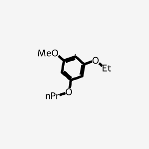 CCCOc1cc(OC)[c]c(OCC)c1